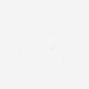 CC1=C(C)C[C](/[Zr+2](=[CH]/c2ccc(C)cc2)[C]2=CC=CC2)=C1.[Cl-].[Cl-]